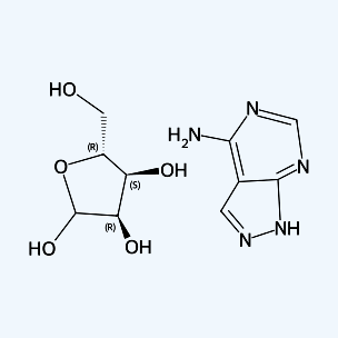 Nc1ncnc2[nH]ncc12.OC[C@H]1OC(O)[C@H](O)[C@@H]1O